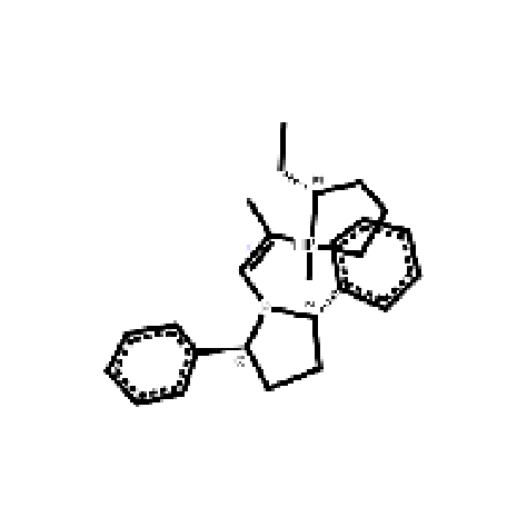 CC[C@@H]1CCC[PH]1(C)/C(C)=C\P1[C@H](c2ccccc2)CC[C@H]1c1ccccc1